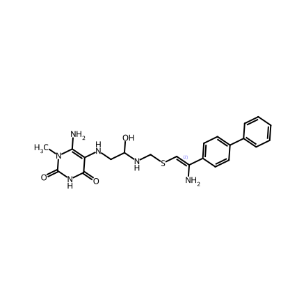 Cn1c(N)c(NCC(O)NCS/C=C(\N)c2ccc(-c3ccccc3)cc2)c(=O)[nH]c1=O